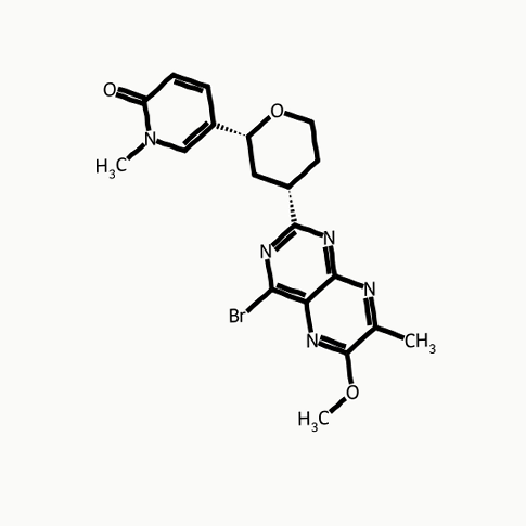 COc1nc2c(Br)nc([C@H]3CCO[C@@H](c4ccc(=O)n(C)c4)C3)nc2nc1C